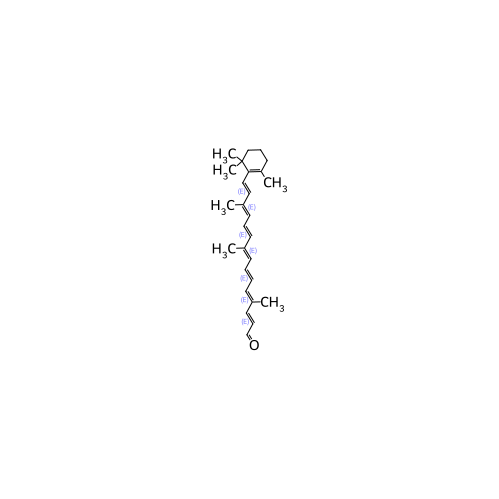 CC1=C(/C=C/C(C)=C/C=C/C(C)=C/C=C/C=C(C)/C=C/C=O)C(C)(C)CCC1